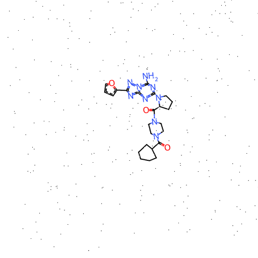 Nc1nc(N2CCC[C@H]2C(=O)N2CCN(C(=O)C3CCCCC3)CC2)nc2nc(-c3ccco3)nn12